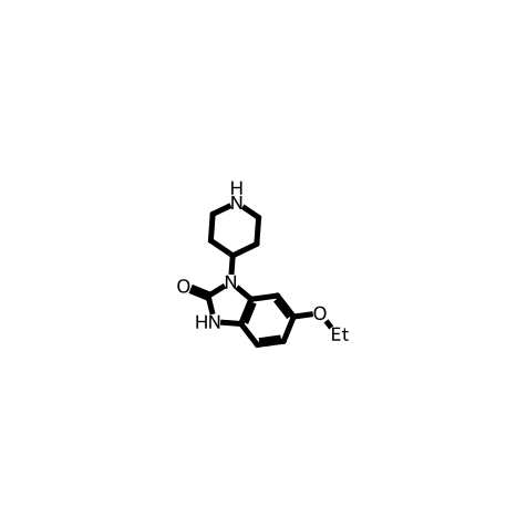 CCOc1ccc2[nH]c(=O)n(C3CCNCC3)c2c1